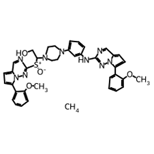 C.COc1ccccc1-c1ccc2cnc(Nc3cccc(N4CCN(C(CO)[S+]([O-])c5ncc6ccc(-c7ccccc7OC)n6n5)CC4)c3)nn12